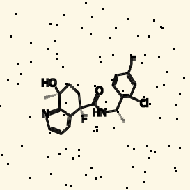 C[C@H](NC(=O)[C@]1(F)CC[C@](C)(O)c2ncccc21)c1ccc(F)cc1Cl